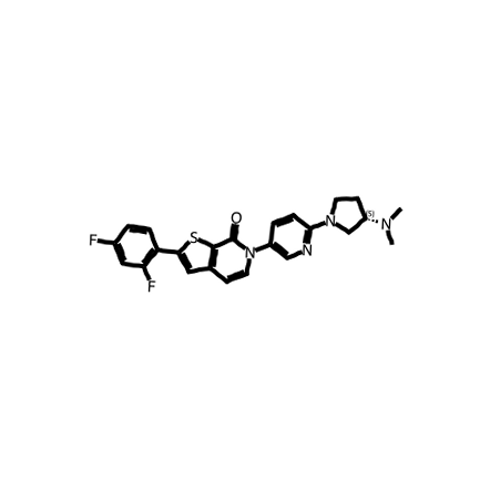 CN(C)[C@H]1CCN(c2ccc(-n3ccc4cc(-c5ccc(F)cc5F)sc4c3=O)cn2)C1